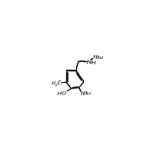 Cc1cc(CNC(C)(C)C)cc(C(C)(C)C)c1O